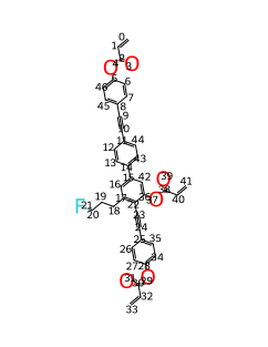 C=CC(=O)Oc1ccc(C#Cc2ccc(-c3cc(CCCF)c(C#Cc4ccc(OC(=O)C=C)cc4)c(OC(=O)C=C)c3)cc2)cc1